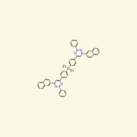 CCC(CC)(c1ccc(-c2cc(-c3ccc4ccccc4c3)nc(-c3ccccc3)n2)cc1)c1ccc(-c2cc(-c3ccc4ccccc4c3)nc(-c3ccccc3)n2)cc1